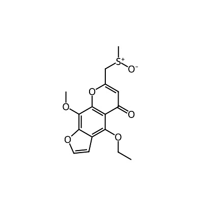 CCOc1c2ccoc2c(OC)c2oc(C[S+](C)[O-])cc(=O)c12